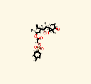 C=C[C@](C)(C[C@H](CC)OC(=O)COS(=O)(=O)c1ccc(C)cc1)[C@@H](O)[C@H](C)[C@@]12CCC(=O)C1(C)C2